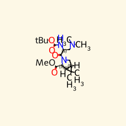 COC(=O)[C@@H]1[C@@H]2[C@H](CN1C(=O)[C@H](CN(C)C)NC(=O)OC(C)(C)C)C2(C)C